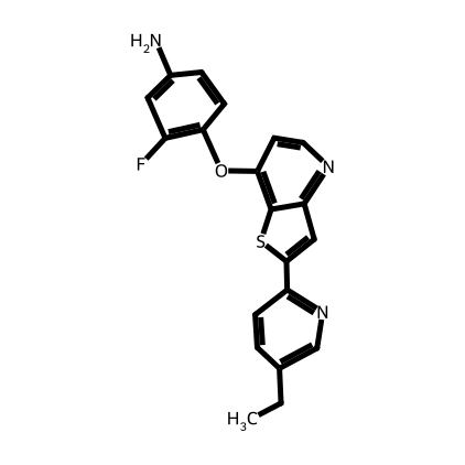 CCc1ccc(-c2cc3nccc(Oc4ccc(N)cc4F)c3s2)nc1